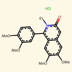 CCn1c(-c2ccc(OC)c(OC)c2)c2cc(OC)c(OC)cc2cc1=O.Cl